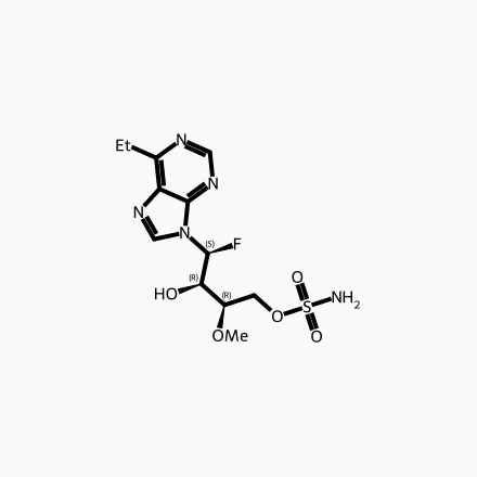 CCc1ncnc2c1ncn2[C@@H](F)[C@H](O)[C@@H](COS(N)(=O)=O)OC